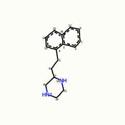 c1ccc2c(CCC3CNCCN3)cccc2c1